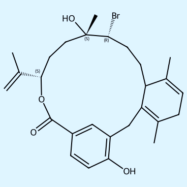 C=C(C)[C@@H]1CC[C@](C)(O)[C@H](Br)CCC2C(C)=CCC(C)=C2Cc2cc(ccc2O)C(=O)O1